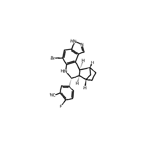 N#Cc1cc([C@@H]2Nc3c(Br)cc4[nH]ncc4c3[C@H]3[C@@H]4CC[C@@H](C4)[C@H]32)ccc1F